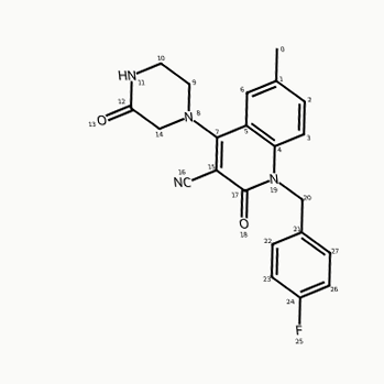 Cc1ccc2c(c1)c(N1CCNC(=O)C1)c(C#N)c(=O)n2Cc1ccc(F)cc1